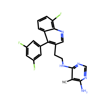 N#Cc1c(N)ncnc1NCCc1cnc2c(F)cccc2c1-c1cc(F)cc(F)c1